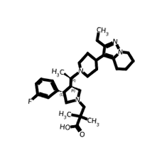 CCc1nn2c(c1C1CCN([C@H](C)[C@H]3CN(CC(C)(C)C(=O)O)C[C@@H]3c3cccc(F)c3)CC1)CCCC2